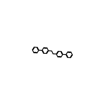 [CH](Cc1ccc(-c2ccccc2)cc1)c1ccc(-c2ccccc2)cc1